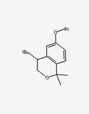 CC(C)Oc1ccc2c(c1)C(C(C)(C)C)COC2(C)C